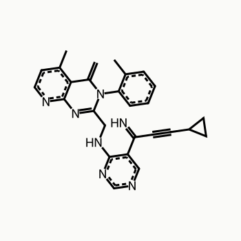 C=C1c2c(C)ccnc2N=C(CNc2ncncc2C(=N)C#CC2CC2)N1c1ccccc1C